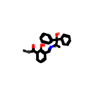 COC(=O)c1cccc(C=N[C@H](C)C(O)(c2ccccc2)c2ccccc2)c1O